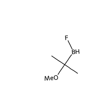 COC(C)(C)BF